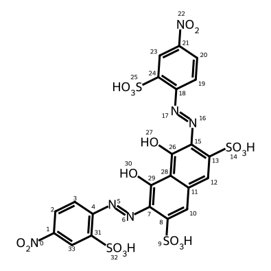 O=[N+]([O-])c1ccc(N=Nc2c(S(=O)(=O)O)cc3cc(S(=O)(=O)O)c(N=Nc4ccc([N+](=O)[O-])cc4S(=O)(=O)O)c(O)c3c2O)c(S(=O)(=O)O)c1